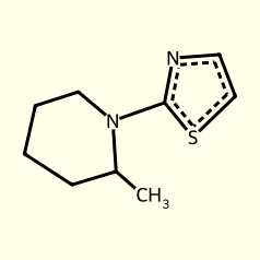 CC1CCCCN1c1nccs1